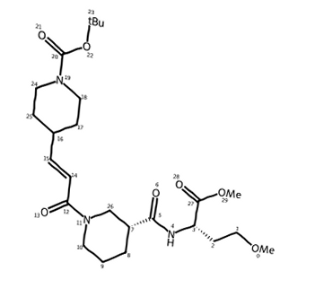 COCC[C@H](NC(=O)[C@@H]1CCCN(C(=O)/C=C/C2CCN(C(=O)OC(C)(C)C)CC2)C1)C(=O)OC